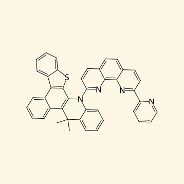 CC1(C)c2ccccc2N(c2ccc3ccc4ccc(-c5ccccn5)nc4c3n2)c2c1c1ccccc1c1c2sc2ccccc21